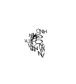 NS(=O)(=O)c1c(S(=O)(=O)N[C@@H]2CCNC2)ccc(N2CCn3ccnc3C2)c1-c1nnn[nH]1